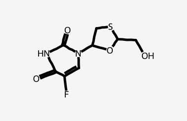 O=c1[nH]c(=O)n(C2CSC(CO)O2)cc1F